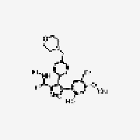 CCNC(=O)c1noc(-c2cc(C(C)C)c(OC(C)(C)C)cc2O)c1-c1ccc(CN2CCOCC2)cc1